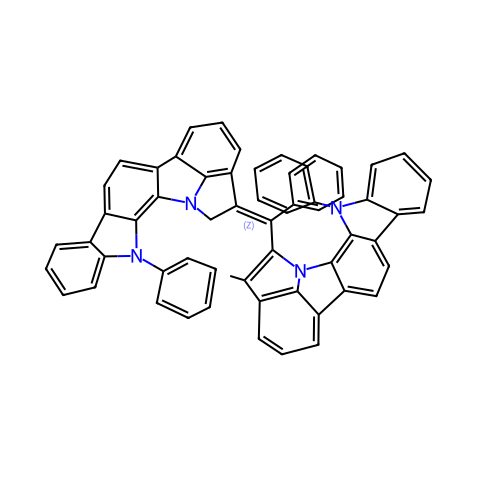 Cc1c(/C(=C2\Cn3c4c2cccc4c2ccc4c5ccccc5n(-c5ccccc5)c4c23)c2ccccc2)n2c3c1cccc3c1ccc3c4ccccc4n(-c4ccccc4)c3c12